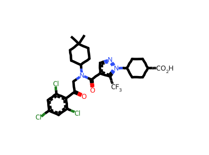 CC1(C)CCC(N(CC(=O)c2c(Cl)cc(Cl)cc2Cl)C(=O)c2cnn(C3CCC(C(=O)O)CC3)c2C(F)(F)F)CC1